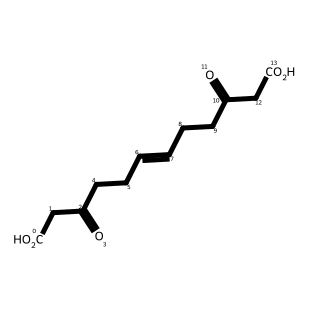 O=C(O)CC(=O)CCC=CCCC(=O)CC(=O)O